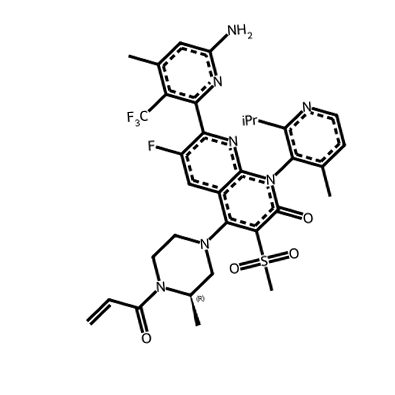 C=CC(=O)N1CCN(c2c(S(C)(=O)=O)c(=O)n(-c3c(C)ccnc3C(C)C)c3nc(-c4nc(N)cc(C)c4C(F)(F)F)c(F)cc23)C[C@H]1C